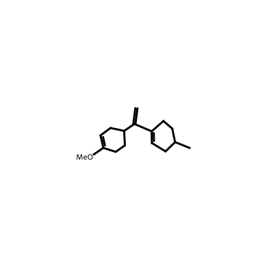 C=C(C1=CCC(C)CC1)C1CC=C(OC)CC1